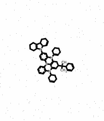 CC(C)(C1C=CC=CC1)C1C=C2C3=C(C1)N(C1=CCCCC1)c1cc(N4C5=C(CCCC5)C5CCC=CC54)ccc1B3c1ccccc1N2C1CC=CCC1